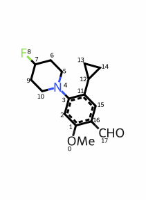 COc1cc(N2CCC(F)CC2)c(C2CC2)cc1C=O